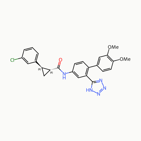 COc1ccc(-c2ccc(NC(=O)[C@@H]3C[C@H]3c3cccc(Cl)c3)cc2-c2nnn[nH]2)cc1OC